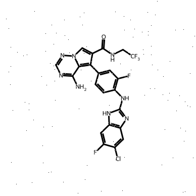 Nc1ncnn2cc(C(=O)NCC(F)(F)F)c(-c3ccc(Nc4nc5cc(Cl)c(F)cc5[nH]4)c(F)c3)c12